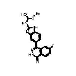 CC(C)(C)OC(O)Nc1nc2cc(-c3n[nH]c(=O)c4ccc(F)cc34)ccc2[nH]1